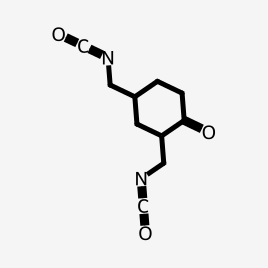 O=C=NCC1CCC(=O)C(CN=C=O)C1